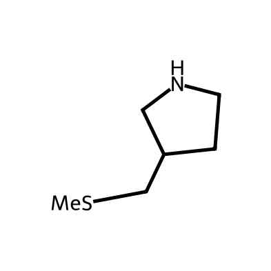 CSCC1CCNC1